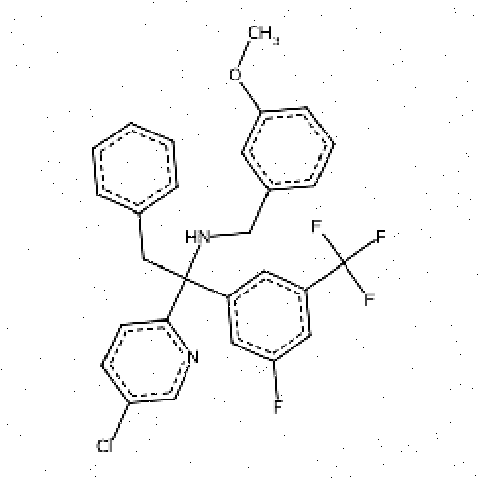 COc1cccc(CNC(Cc2ccccc2)(c2cc(F)cc(C(F)(F)F)c2)c2ccc(Cl)cn2)c1